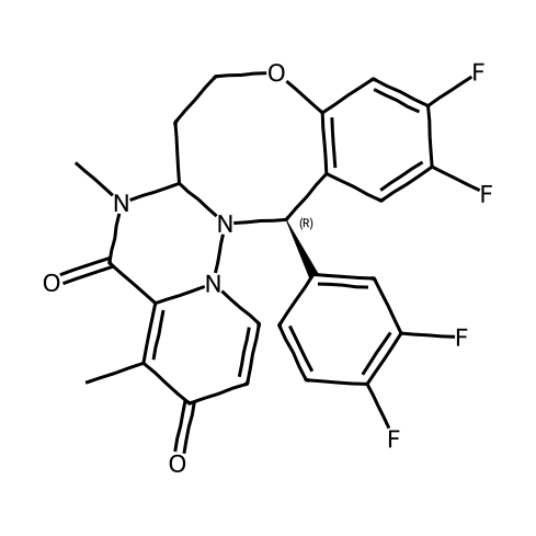 Cc1c2n(ccc1=O)N1C(CCOc3cc(F)c(F)cc3[C@H]1c1ccc(F)c(F)c1)N(C)C2=O